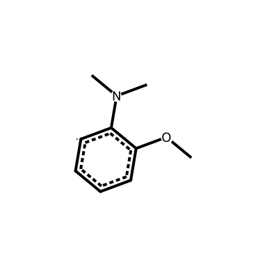 COc1ccc[c]c1N(C)C